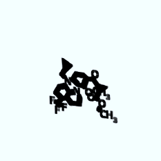 CCOC(=O)C1CC1C(=O)c1ccc(N(CC2CC2)c2ccc(C(F)(F)F)c3cccnc23)cc1OC